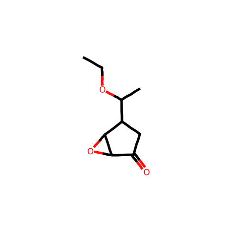 CCOC(C)C1CC(=O)C2OC21